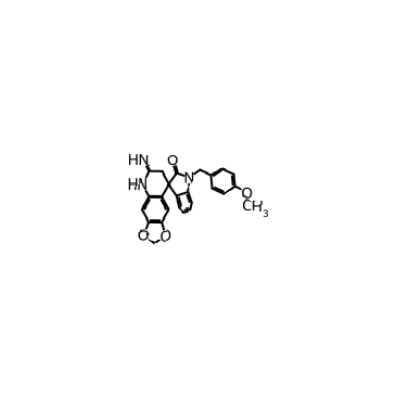 COc1ccc(CN2C(=O)C3(CC(=N)Nc4cc5c(cc43)OCO5)c3ccccc32)cc1